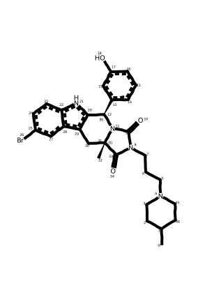 CC1CCN(CCCN2C(=O)N3[C@H](c4cccc(O)c4)c4[nH]c5ccc(Br)cc5c4C[C@@]3(C)C2=O)CC1